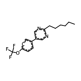 CCCCCCc1ncc(-c2ccc(OC(F)(F)F)cc2)cn1